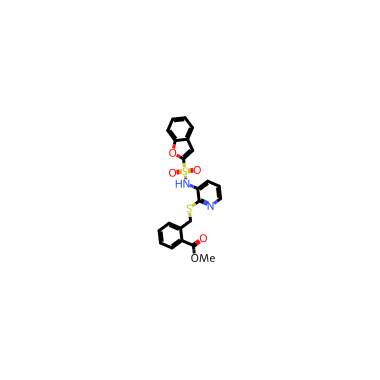 COC(=O)c1ccccc1CSc1ncccc1NS(=O)(=O)c1cc2ccccc2o1